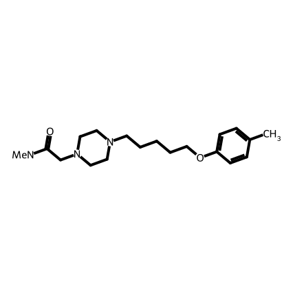 CNC(=O)CN1CCN(CCCCCOc2ccc(C)cc2)CC1